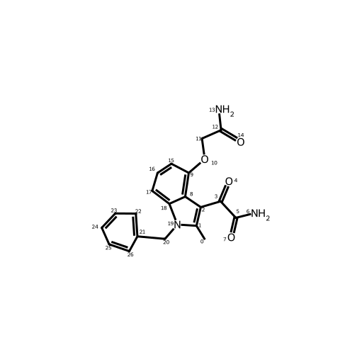 Cc1c(C(=O)C(N)=O)c2c(OCC(N)=O)cccc2n1Cc1ccccc1